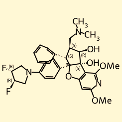 COc1cc2c(c(OC)n1)[C@]1(O)[C@H](O)[C@H](CN(C)C)[C@@H](c3ccccc3)[C@]1(c1ccc(N3C[C@@H](F)[C@H](F)C3)cc1)O2